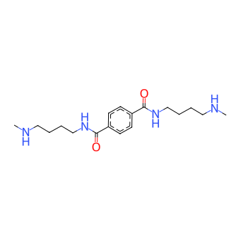 CNCCCCNC(=O)c1ccc(C(=O)NCCCCNC)cc1